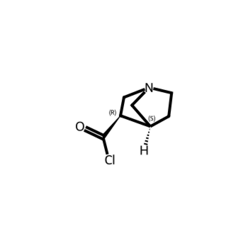 O=C(Cl)[C@H]1CN2CC[C@@H]1C2